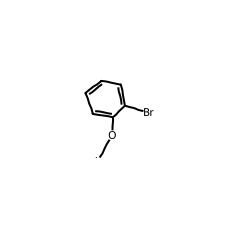 [CH2]Oc1ccccc1Br